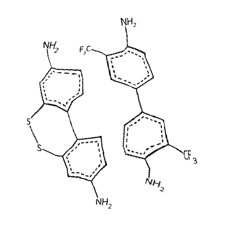 Nc1ccc(-c2ccc(N)c(C(F)(F)F)c2)cc1C(F)(F)F.Nc1ccc2c(c1)SSc1cc(N)ccc1-2